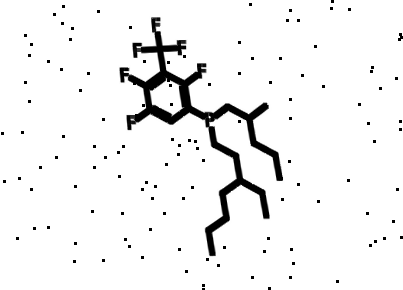 CCCCC(CC)CCP(CC(C)CCC)c1cc(F)c(F)c(C(F)(F)F)c1F